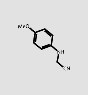 COc1ccc(NCC#N)cc1